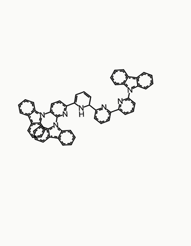 C1=CC(c2cccc(-c3cccc(-n4c5ccccc5c5ccccc54)n3)n2)NC(c2ccc(-n3c4ccccc4c4ccccc43)c(-n3c4ccccc4c4ccccc43)n2)=C1